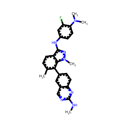 CNc1ncc2cc(-c3c(C)ccc4c(Nc5ccc(N(C)C)c(F)c5)nn(C)c34)ccc2n1